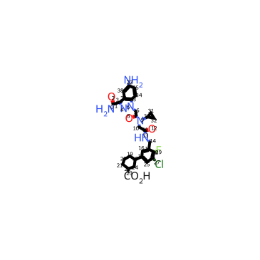 NC(=O)c1nn(CC(=O)N(CC(=O)NCc2cc(C3CCCC(C(=O)O)C3)cc(Cl)c2F)C2CC2)c2ccc(N)cc12